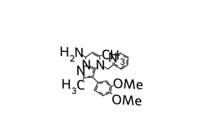 COc1ccc(-c2c(C)nn3c2N(Cc2ccccn2)C(C)=CC3N)cc1OC